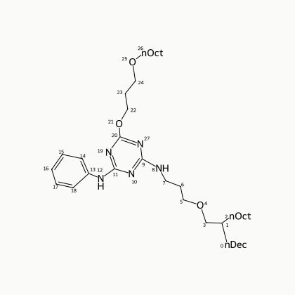 CCCCCCCCCCC(CCCCCCCC)COCCCNc1nc(Nc2ccccc2)nc(OCCCOCCCCCCCC)n1